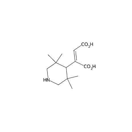 CC1(C)CNCC(C)(C)C1C(=CC(=O)O)C(=O)O